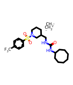 O=C(NCC1CCCN(S(=O)(=O)c2ccc(C(F)(F)F)cc2)C1)N[C]1CCCCCCC1.[CH2].[CH2]